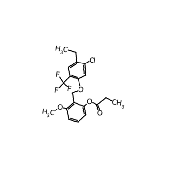 CCC(=O)Oc1cccc(OC)c1COc1cc(Cl)c(CC)cc1C(F)(F)F